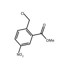 COC(=O)c1cc([N+](=O)[O-])ccc1CCl